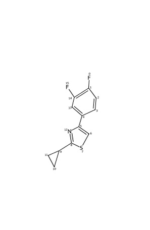 Fc1ccc(-c2csc(C3CC3)n2)cc1F